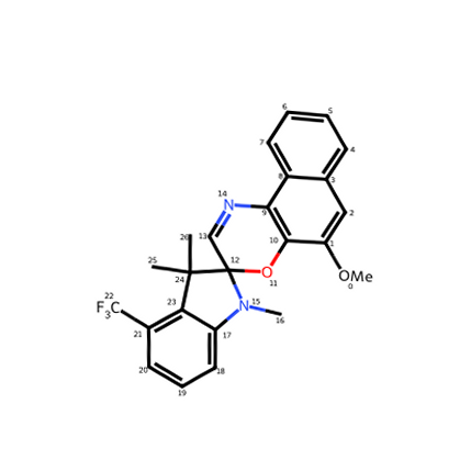 COc1cc2ccccc2c2c1OC1(C=N2)N(C)c2cccc(C(F)(F)F)c2C1(C)C